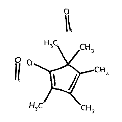 CC1=C(C)C(C)(C)[C]([Cr])=C1C.[C]=O.[C]=O